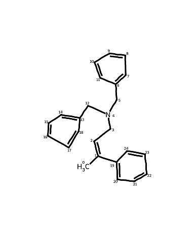 CC(=CCN(Cc1ccccc1)Cc1ccccc1)c1ccccc1